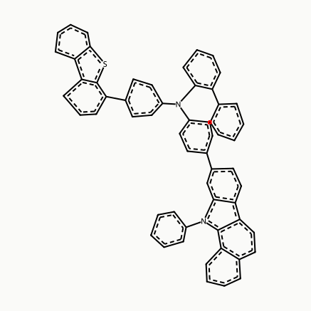 c1ccc(-c2ccccc2N(c2ccc(-c3ccc4c5ccc6ccccc6c5n(-c5ccccc5)c4c3)cc2)c2ccc(-c3cccc4c3sc3ccccc34)cc2)cc1